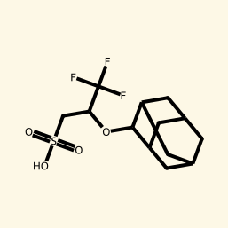 O=S(=O)(O)CC(OC1C2CC3CC(C2)CC1C3)C(F)(F)F